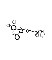 CN(C)CCCOCc1cc2c(s1)-c1cc(Cl)c(Cl)cc1Sc1ccccc1-2